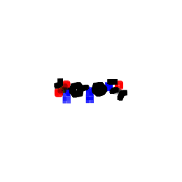 CC(C)[C@@H]1CN(c2ccc(NCc3ccc(NS(=O)(=O)C(C)C)cc3)cc2)CCO1